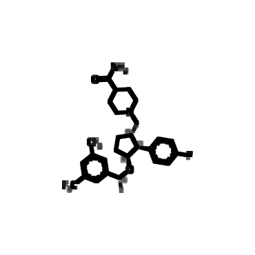 C[C@@H](O[C@H]1CC[C@H](CN2CCC(C(N)=O)CC2)[C@H]1c1ccc(F)cc1)c1cc(C(F)(F)F)cc(C(F)(F)F)c1